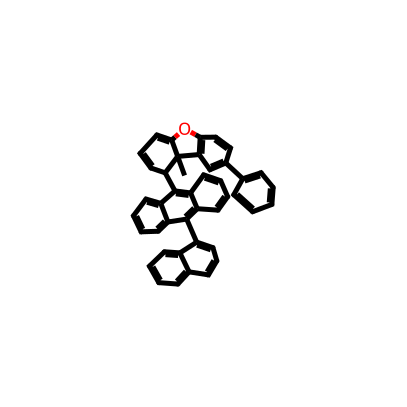 CC12C(=CC=CC1c1c3ccccc3c(-c3cccc4ccccc34)c3ccccc13)Oc1ccc(-c3ccccc3)cc12